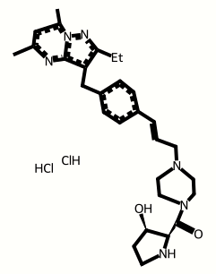 CCc1nn2c(C)cc(C)nc2c1Cc1ccc(C=CCN2CCN(C(=O)[C@H]3NCC[C@H]3O)CC2)cc1.Cl.Cl